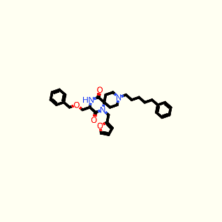 O=C1C(COCc2ccccc2)NC(=O)C2(CCN(CCCCCc3ccccc3)CC2)N1Cc1ccco1